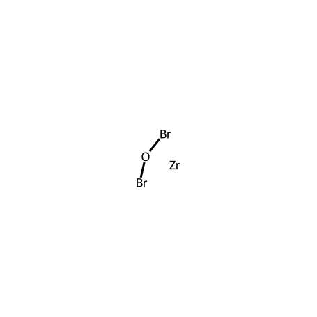 BrOBr.[Zr]